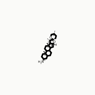 C[C@@H]1CC[C@@]2(OC1)O[C@H]1CC3C4CCC5C[C@@H](N)CC[C@]5(C)C4CC[C@]3(C)[C@H]1[C@@H]2C